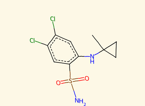 CC1(Nc2cc(Cl)c(Cl)cc2S(N)(=O)=O)CC1